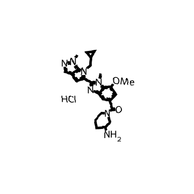 COc1cc(C(=O)N2CCCC(N)C2)cc2nc(-c3cc4cnn(C)c4n3CC3CC3)n(C)c12.Cl